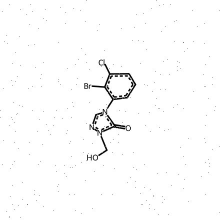 O=c1n(-c2cccc(Cl)c2Br)cnn1CO